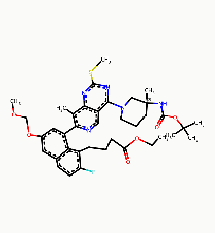 CCOC(=O)CCCc1c(F)ccc2cc(OCOC)cc(-c3ncc4c(N5CCC[C@@](C)(NC(=O)OC(C)(C)C)C5)nc(SC)nc4c3C)c12